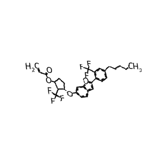 C=CC(=O)OC1CCC(Oc2ccc3cc(-c4ccc(CCCCC)cc4C(F)(F)F)oc3c2)C1C(F)(F)F